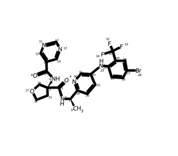 C[C@@H](NC(=O)[C@]1(NC(=O)c2cncnc2)CCOC1)c1ccc(Nc2ccc(Br)cc2C(F)(F)F)cn1